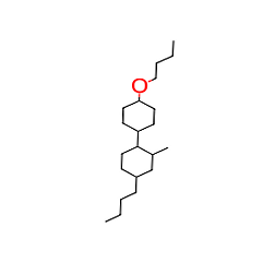 CCCCOC1CCC(C2CCC(CCCC)CC2C)CC1